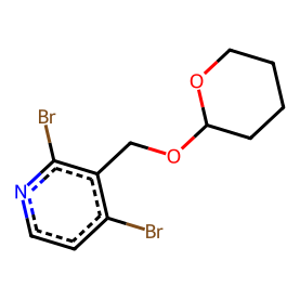 Brc1ccnc(Br)c1COC1CCCCO1